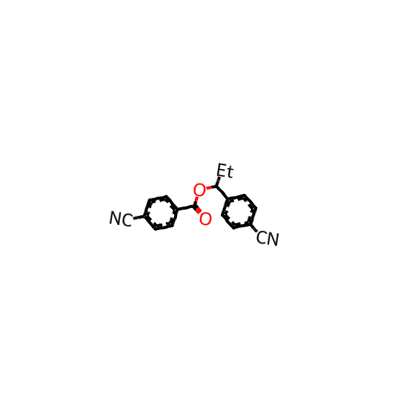 CCC(OC(=O)c1ccc(C#N)cc1)c1ccc(C#N)cc1